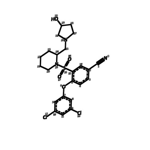 N#Cc1ccc(Oc2cc(Cl)cc(Cl)c2)c(S(=O)(=O)N2CCCCC2CN2CCC(O)C2)c1